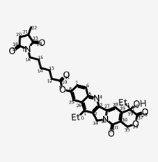 CCc1c2c(nc3ccc(OC(=O)CCCCCN4C(=O)CC(C)C4=O)cc13)-c1cc3c(c(=O)n1C2)COC(=O)[C@]3(O)CC